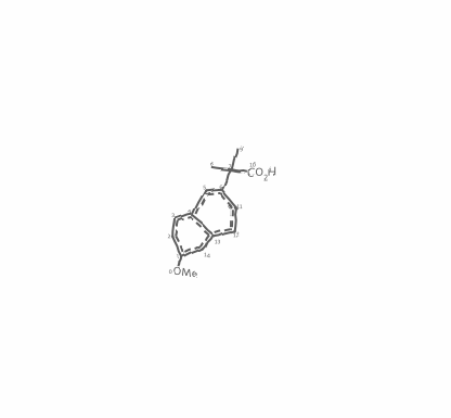 COc1ccc2cc(C(C)(C)C(=O)O)ccc2c1